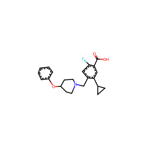 O=C(O)c1cc(C2CC2)c(CN2CCC(Oc3ccccc3)CC2)cc1F